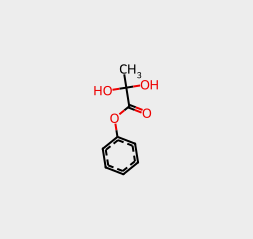 CC(O)(O)C(=O)Oc1ccccc1